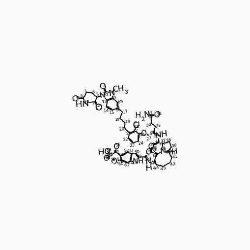 Cn1c(=O)n(C2CCC(=O)NC2=O)c2ccc(CCCCc3cccc(OC[C@H](CCC(N)=O)NC(=O)[C@@H]4CC[C@@H]5CCCC[C@H](NC(=O)c6cc7cc(C(=O)P(=O)(O)O)ccc7[nH]6)C(=O)N54)c3Cl)cc21